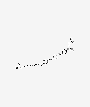 CCC(=O)OCCCCCCCCCOc1ccc(N=Nc2ccc(N=Nc3ccc(N(C)CCOC(=O)CC)cc3)cc2)nc1